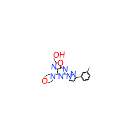 Cc1cccc(-c2ccn(-c3nc(N4CCOCC4)c4nc(CO)oc4n3)n2)c1